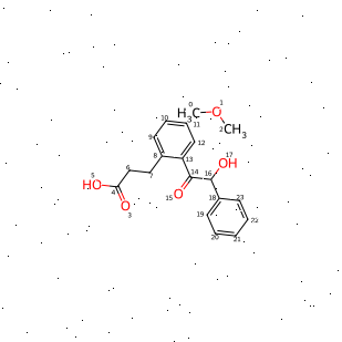 COC.O=C(O)CCc1ccccc1C(=O)C(O)c1ccccc1